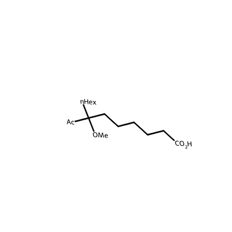 CCCCCCC(CCCCCC(=O)O)(OC)C(C)=O